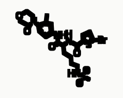 Cc1cc(NC(=O)C(CCCCNS(C)(=O)=O)NC(=O)c2ccc(Br)s2)ccc1N1CCOCC1=O